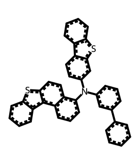 c1ccc(-c2cccc(N(c3ccc4c(c3)sc3ccccc34)c3cccc4c3ccc3sc5ccccc5c34)c2)cc1